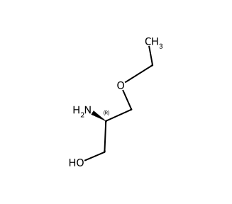 CCOC[C@H](N)CO